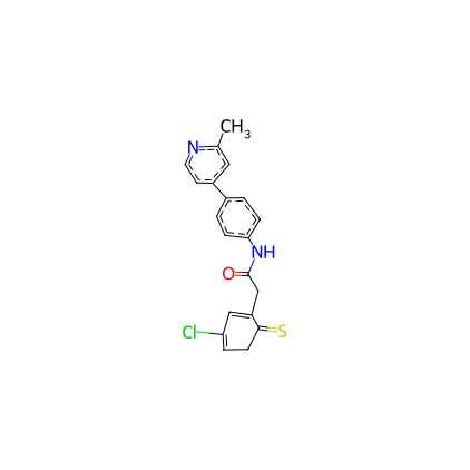 Cc1cc(-c2ccc(NC(=O)CC3=CC(Cl)=CCC3=S)cc2)ccn1